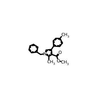 COC(=O)c1c(-c2ccc(C)cc2)cn(Cc2ccccc2)c1C